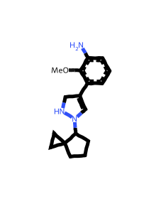 COc1c(N)cccc1C1=CN(C2CCCC23CC3)NC1